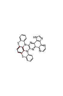 c1ccc2c(c1)Sc1ccccc1N2c1nc2c3nccnc3c3nc[nH]c3c2nc1N1c2ccccc2Sc2ccccc21